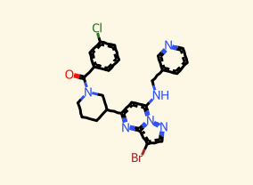 O=C(c1cccc(Cl)c1)N1CCCC(c2cc(NCc3cccnc3)n3ncc(Br)c3n2)C1